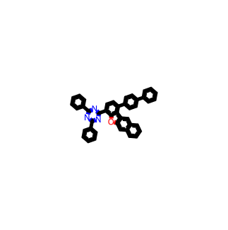 c1ccc(-c2ccc(-c3ccc(-c4nc(-c5ccccc5)nc(-c5ccccc5)n4)c4oc5cc6ccccc6cc5c34)cc2)cc1